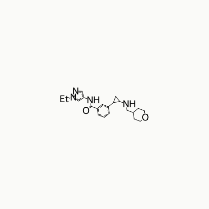 CCn1cc(NC(=O)c2cccc(C3CC3NCC3CCOCC3)c2)cn1